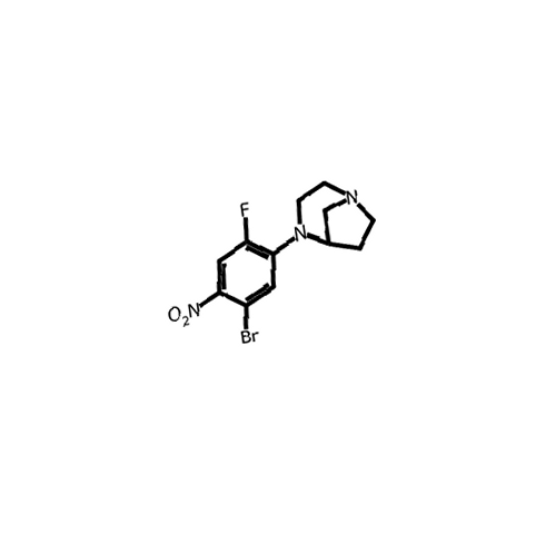 O=[N+]([O-])c1cc(F)c(N2CCN3CCC2C3)cc1Br